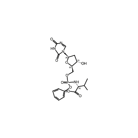 CC(C)[C@@H](NP(=O)(OC[C@H]1O[C@@H](n2cnc(=O)[nH]c2=O)C[C@@H]1O)Oc1ccccc1)C(=O)O